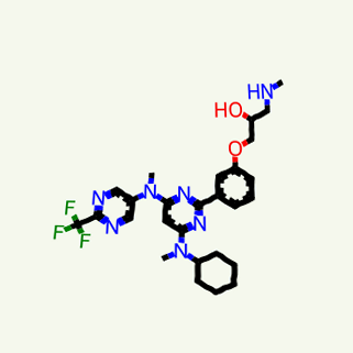 CNCC(O)COc1cccc(-c2nc(N(C)c3cnc(C(F)(F)F)nc3)cc(N(C)C3CCCCC3)n2)c1